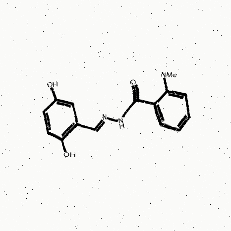 CNc1ccccc1C(=O)NN=Cc1cc(O)ccc1O